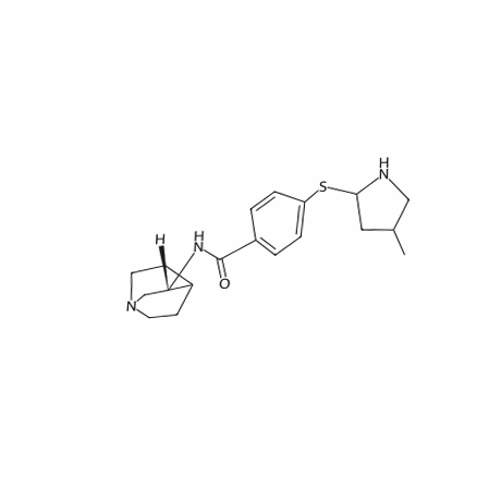 CC1CNC(Sc2ccc(C(=O)N[C@H]3CN4CCC3CC4)cc2)C1